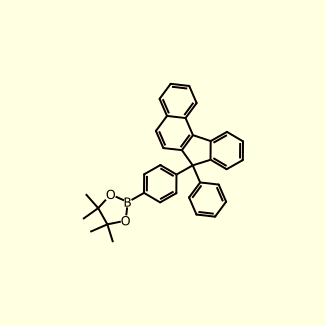 CC1(C)OB(c2ccc(C3(c4ccccc4)c4ccccc4-c4c3ccc3ccccc43)cc2)OC1(C)C